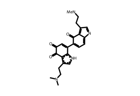 CNCCC1=C2C(=O)C(C3=CC(=O)C(=O)c4c(CCN(C)C)c[nH]c43)=CC=C2N=C1